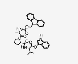 CC(C)[C@H](NC(=O)[C@@H]1CCCN1C(=O)[C@H](C)NC(=O)OCC1c2ccccc2-c2ccccc21)C(=O)Oc1c[nH]c2ccccc12